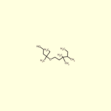 CCC(C)C(C)(C)CCOC(C)(CC)CCO